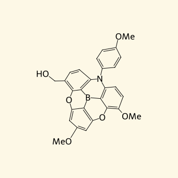 COc1ccc(N2c3ccc(CO)c4c3B3c5c(cc(OC)cc5Oc5c(OC)ccc2c53)O4)cc1